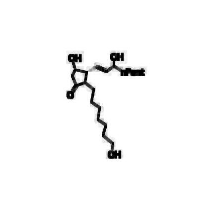 CCCCCC(O)/C=C/[C@H]1C(O)CC(=O)C1CCCCCCCO